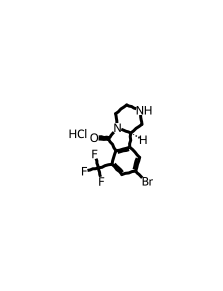 Cl.O=C1c2c(cc(Br)cc2C(F)(F)F)[C@@H]2CNCCN12